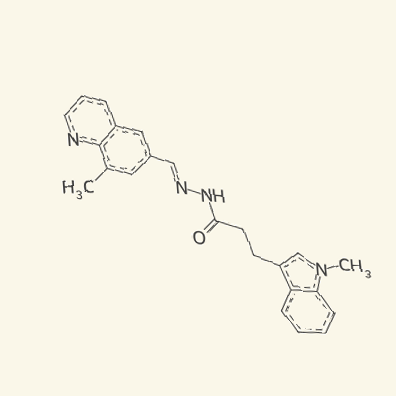 Cc1cc(C=NNC(=O)CCc2cn(C)c3ccccc23)cc2cccnc12